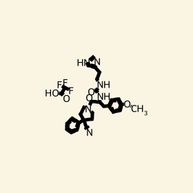 COc1ccc(CC(NC(=O)NCCc2c[nH]cn2)C(=O)N2CCC(C#N)(c3ccccc3)CC2)cc1.O=C(O)C(F)(F)F